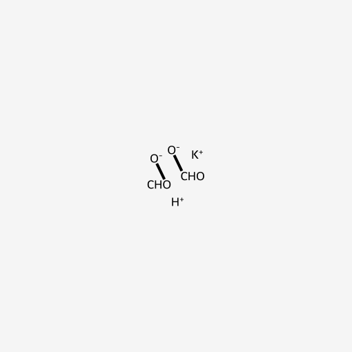 O=C[O-].O=C[O-].[H+].[K+]